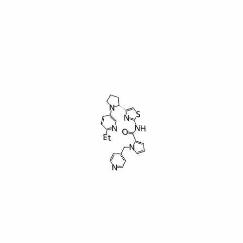 CCc1ccc(N2CCC[C@@H]2c2csc(NC(=O)c3cccn3Cc3ccncc3)n2)cn1